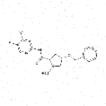 Cc1cc(NC(=O)[C@@H]2C[C@H](OCc3ccccc3)CN2C(=O)O)ccc1F